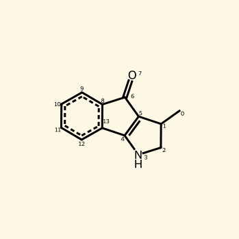 CC1CNC2=C1C(=O)c1ccccc12